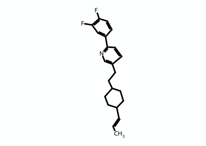 C/C=C/C1CCC(CCc2ccc(-c3ccc(F)c(F)c3)nc2)CC1